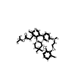 Cc1cccc(Cl)c1OCCN(C)c1ccc(-c2cnc(C)c(CC(=O)OC(C)C)c2N2CCC(C)(C)CC2)cn1